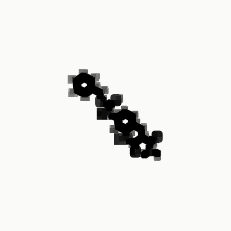 CN(C)C(=O)C1Cc2ccc(NC(=O)OCc3ccccc3)cc2NC1=O